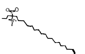 CC=CCCCCCCCCCCCCCCCCC(CCC)(P(=O)=O)[N+](C)(C)C